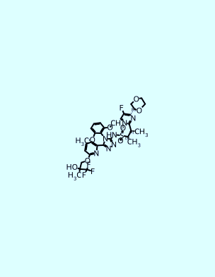 COc1cccc(OC)c1-n1c(NS(=O)(=O)[C@@H](C)[C@H](C)c2ncc(F)c([C@@H]3COCCO3)n2)nnc1-c1cccc(OCC(C)(O)C(F)(F)F)n1